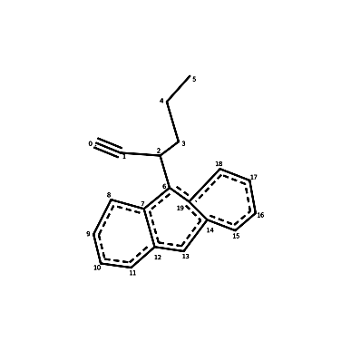 [C]#CC(CCC)c1c2ccccc2cc2ccccc12